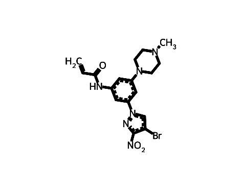 C=CC(=O)Nc1cc(N2CCN(C)CC2)cc(-n2cc(Br)c([N+](=O)[O-])n2)c1